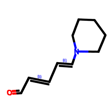 O=C/C=C/C=C/N1CCCCC1